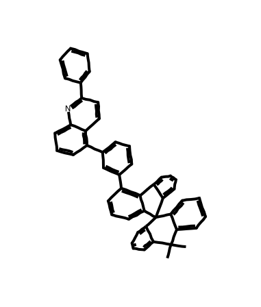 CC1(C)c2ccccc2C2(c3ccccc3-c3c(-c4cccc(-c5cccc6nc(-c7ccccc7)ccc56)c4)cccc32)c2ccccc21